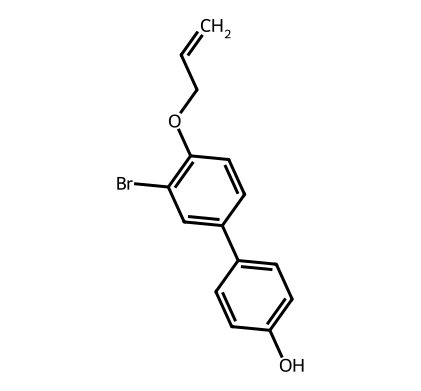 C=CCOc1ccc(-c2ccc(O)cc2)cc1Br